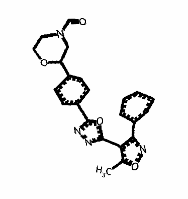 Cc1onc(-c2ccccc2)c1-c1nnc(-c2ccc(C3CN(C=O)CCO3)cc2)o1